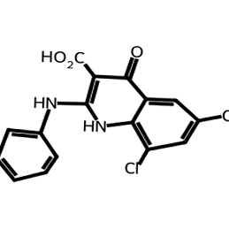 O=C(O)c1c(Nc2ccccc2)[nH]c2c(Cl)cc(Cl)cc2c1=O